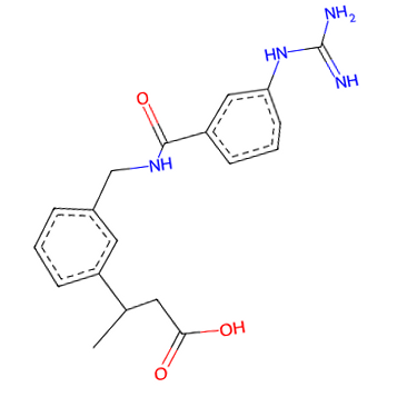 CC(CC(=O)O)c1cccc(CNC(=O)c2cccc(NC(=N)N)c2)c1